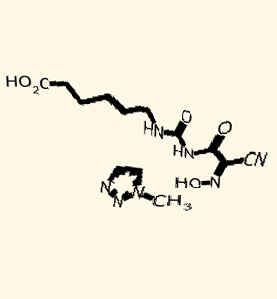 Cn1ccnn1.N#CC(=NO)C(=O)NC(=O)NCCCCCC(=O)O